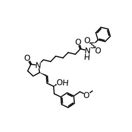 COCc1cccc(C[C@H](O)/C=C/[C@H]2CCC(=O)N2CCCCCCC(=O)NS(=O)(=O)c2ccccc2)c1